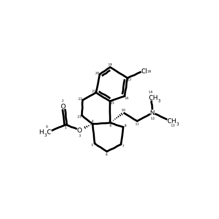 CC(=O)O[C@@]12CCCC[C@]1(CCN(C)C)c1cc(Cl)ccc1CC2